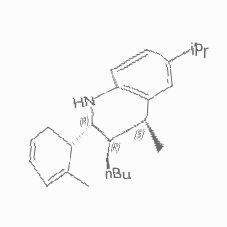 CCCC[C@@H]1[C@H](C)c2cc(C(C)C)ccc2N[C@H]1C1CC=CC=C1C